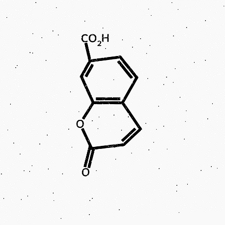 O=C(O)c1ccc2ccc(=O)oc2c1